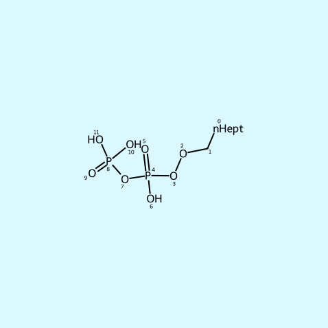 CCCCCCCCOOP(=O)(O)OP(=O)(O)O